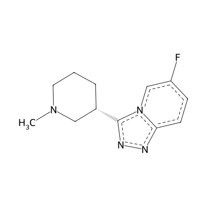 CN1CCC[C@H](c2nnc3ccc(F)cn23)C1